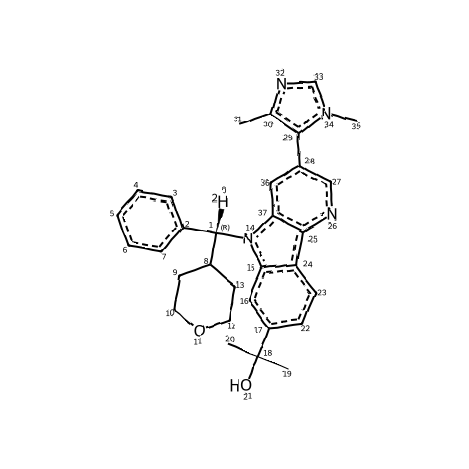 [2H][C@](c1ccccc1)(C1CCOCC1)n1c2cc(C(C)(C)O)ccc2c2ncc(-c3c(C)ncn3C)cc21